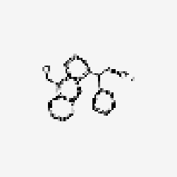 C=CC(c1ccccc1)c1cccc2c(CCl)c3ccccc3cc12